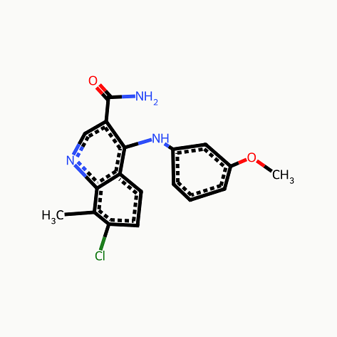 COc1cccc(Nc2c(C(N)=O)cnc3c(C)c(Cl)ccc23)c1